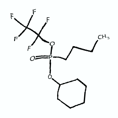 CCCCP(=O)(OC1CCCCC1)OC(F)(F)C(F)(F)F